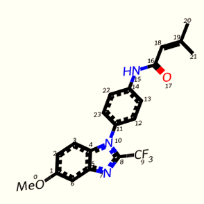 COc1ccc2c(c1)nc(C(F)(F)F)n2-c1ccc(NC(=O)C=C(C)C)cc1